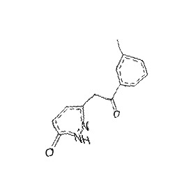 Cc1cccc(C(=O)Cc2ccc(=O)[nH]n2)c1